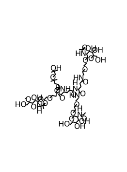 COC(CO)C(O)C(O)C(NC(C)=O)OCCOCCNC(=O)C(CCC(=O)NC(CCC(=O)NCCOCCOC1OC(CO)C(O)C(O)C1NC(C)=O)C(=O)NCCOCCOC1OC(CO)C(O)C(O)C1NC(C)=O)NC(=O)CCC(C)(C)OCC(C)(C)O